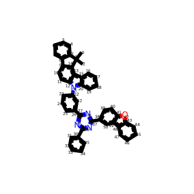 CC1(C)c2ccccc2-c2ccc3c(c21)c1ccccc1n3-c1cccc(-c2nc(-c3ccccc3)nc(-c3ccc4oc5ccccc5c4c3)n2)c1